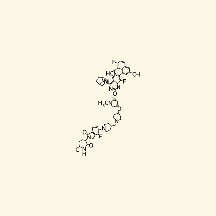 C#Cc1c(F)ccc2cc(O)cc(-c3ncc4c(N5CC6CCC(C5)N6)nc(OC[C@@H]5C[C@@H](OC6CCN(CC7CCN(c8ccc9c(c8F)CN(C8CCC(=O)NC8=O)C9=O)CC7)CC6)CN5C)nc4c3F)c12